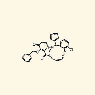 O=C1c2c(OCc3ccccc3)c(=O)ccn2N2CN1C/C=C\COc1c(Cl)cccc1C2c1ccccc1